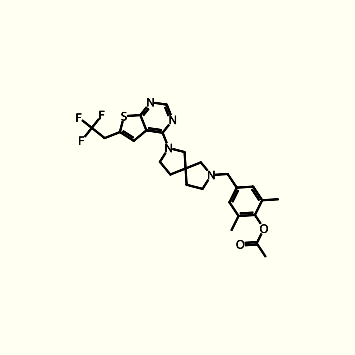 CC(=O)Oc1c(C)cc(CN2CCC3(CCN(c4ncnc5sc(CC(F)(F)F)cc45)C3)C2)cc1C